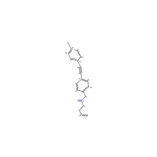 COCCNCc1ccc(C#Cc2ccc(C)cc2)cc1